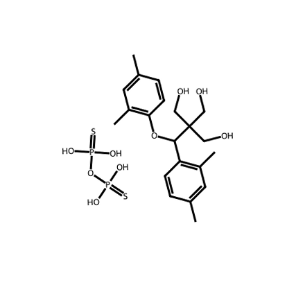 Cc1ccc(OC(c2ccc(C)cc2C)C(CO)(CO)CO)c(C)c1.OP(O)(=S)OP(O)(O)=S